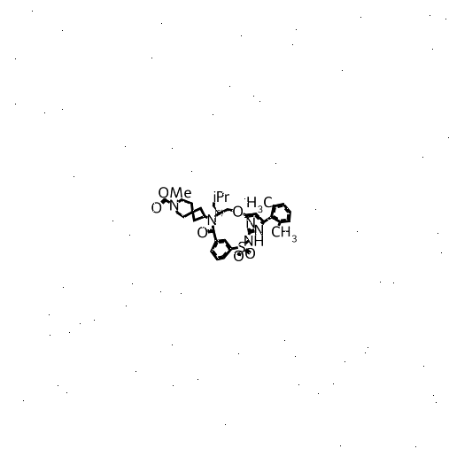 COC(=O)N1CCC2(CC1)CC(N1C(=O)c3cccc(c3)S(=O)(=O)Nc3nc(cc(-c4c(C)cccc4C)n3)OC[C@@H]1CC(C)C)C2